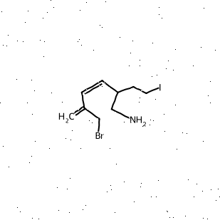 C=C(/C=C\C(CN)CCI)CBr